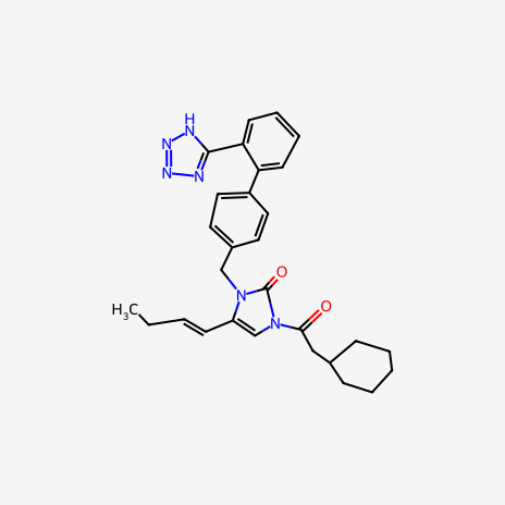 CC/C=C/c1cn(C(=O)CC2CCCCC2)c(=O)n1Cc1ccc(-c2ccccc2-c2nnn[nH]2)cc1